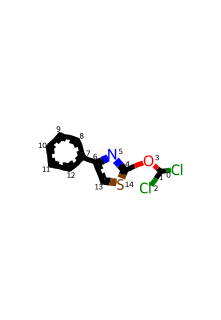 ClC(Cl)Oc1nc(-c2cc[c]cc2)cs1